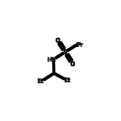 CCC(CC)NS(=O)(=O)C(C)C